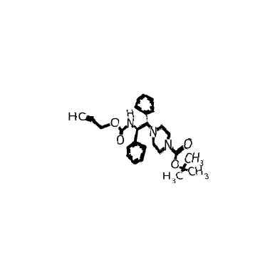 C#CCOC(=O)N[C@H](c1ccccc1)[C@H](c1ccccc1)N1CCN(C(=O)OC(C)(C)C)CC1